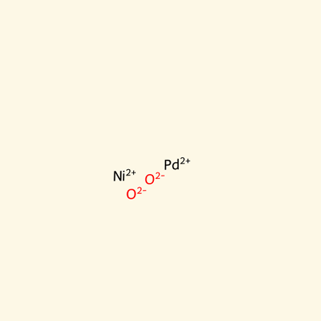 [Ni+2].[O-2].[O-2].[Pd+2]